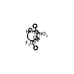 O=[N+]([O-])c1cc(-c2ccccc2)c2nc1-c1nnc(o1)C(OCc1ccccc1)(C(F)(F)F)CCC=CC[C@@H]1CCCN21